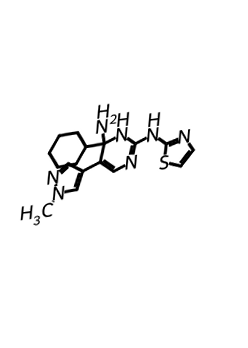 Cn1cc(C2=CN=C(Nc3nccs3)NC2(N)C2CCCCC2)cn1